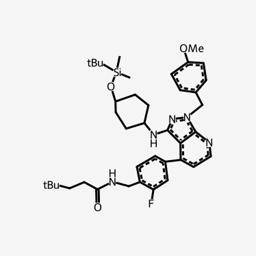 COc1ccc(Cn2nc(NC3CCC(O[Si](C)(C)C(C)(C)C)CC3)c3c(-c4ccc(CNC(=O)CCC(C)(C)C)c(F)c4)ccnc32)cc1